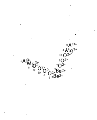 [Al+3].[Al+3].[Be+2].[Be+2].[Mg+2].[Mg+2].[O-2].[O-2].[O-2].[O-2].[O-2].[O-2].[O-2]